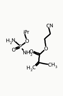 C=C(C)C(=O)OCCC#N.CC(C)OP(N)(N)=O